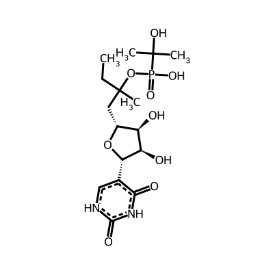 CCC(C)(C[C@H]1O[C@@H](c2c[nH]c(=O)[nH]c2=O)[C@H](O)[C@@H]1O)OP(=O)(O)C(C)(C)O